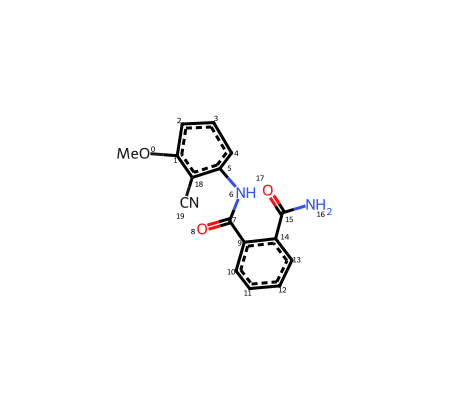 COc1cccc(NC(=O)c2ccccc2C(N)=O)c1C#N